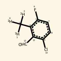 [2H]C([2H])([2H])c1c(F)ccc(Cl)c1C=O